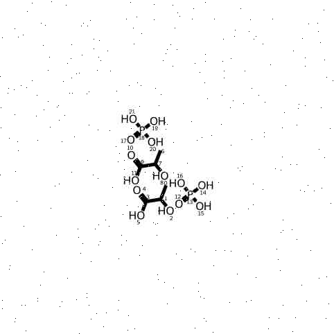 CC(O)C(=O)O.CC(O)C(=O)O.O=P(O)(O)O.O=P(O)(O)O